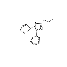 CCCc1nc(C2C=CC=CC2)c(-c2ccccc2)o1